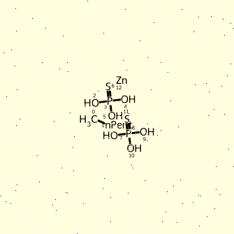 CCCCCC.OP(O)(O)=S.OP(O)(O)=S.[Zn]